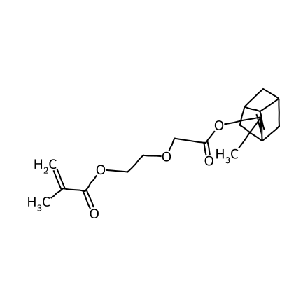 C=C(C)C(=O)OCCOCC(=O)OC1(C)C=C2C3CC2CC1C3